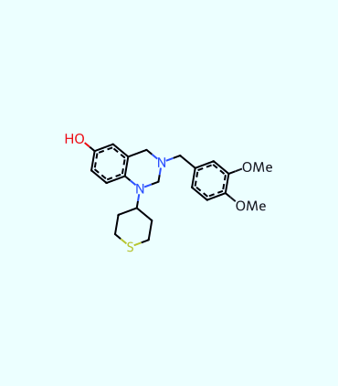 COc1ccc(CN2Cc3cc(O)ccc3N(C3CCSCC3)C2)cc1OC